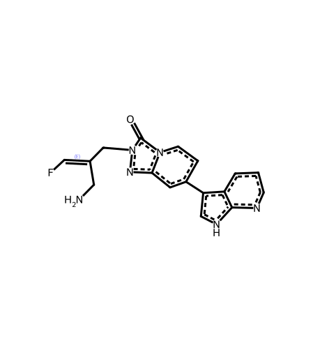 NC/C(=C\F)Cn1nc2cc(-c3c[nH]c4ncccc34)ccn2c1=O